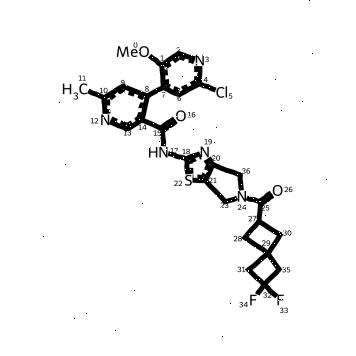 COc1cnc(Cl)cc1-c1cc(C)ncc1C(=O)Nc1nc2c(s1)CN(C(=O)C1CC3(C1)CC(F)(F)C3)C2